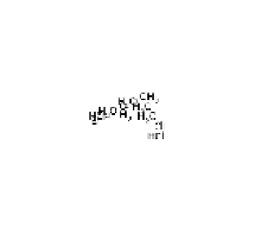 Cl.Cl.Cl.O.O.O.O.O.O.[Er]